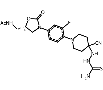 CC(=O)NC[C@H]1CN(c2ccc(N3CCC(C#N)(NNC(N)=S)CC3)c(F)c2)C(=O)O1